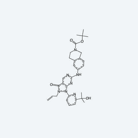 C=CCn1c(=O)c2cnc(Nc3ccc4c(c3)CCN(C(=O)OC(C)(C)C)C4)nc2n1-c1cccc(C(C)(C)O)n1